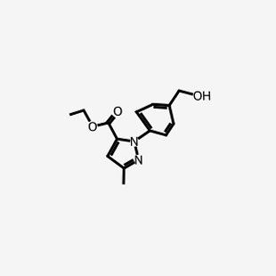 CCOC(=O)c1cc(C)nn1-c1ccc(CO)cc1